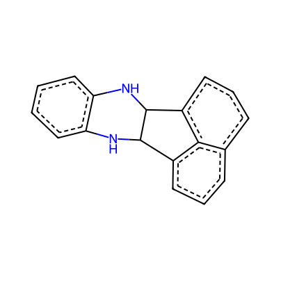 c1ccc2c(c1)NC1c3cccc4cccc(c34)C1N2